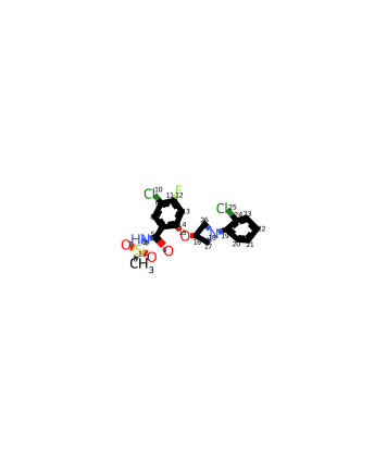 CS(=O)(=O)NC(=O)c1cc(Cl)c(F)cc1OC1CN(c2ccccc2Cl)C1